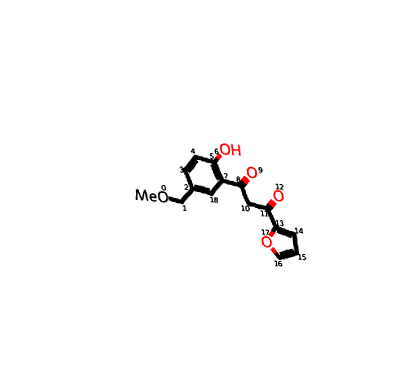 COCc1ccc(O)c(C(=O)CC(=O)c2ccco2)c1